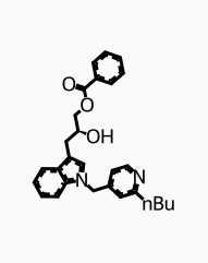 CCCCc1cc(Cn2cc(C[C@H](O)COC(=O)c3ccccc3)c3ccccc32)ccn1